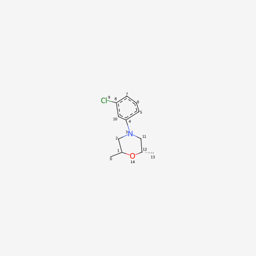 CC1CN(c2cccc(Cl)c2)C[C@H](C)O1